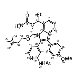 CCC(OC(N)=O)c1ccnc2c(-c3ccc(OC)nc3)c(-c3ccnc(NC(C)=O)c3)n(COCC[Si](C)(C)C)c12